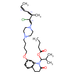 C\C=C/C=C(C)\C(Cl)=C\N1CCN(CCCCOc2ccc3c(c2)N(C(OC(=O)CCC)C(C)C)C(=O)CC3)CC1